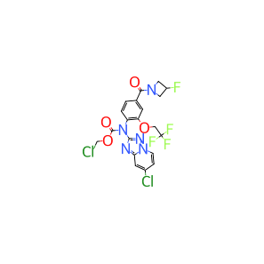 O=C(c1ccc(N(C(=O)OCCl)c2nc3cc(Cl)ccn3n2)c(OCC(F)(F)F)c1)N1CC(F)C1